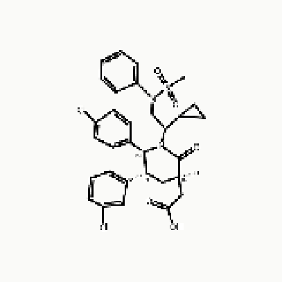 C[C@]1(CC(=O)O)C[C@H](c2cccc(Cl)c2)[C@@H](c2ccc(Cl)cc2)N(C(CN(c2ccccc2)S(C)(=O)=O)C2CC2)C1=O